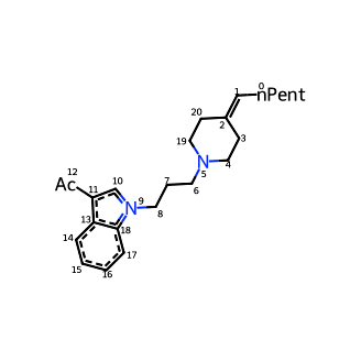 CCCCCC=C1CCN(CCCn2cc(C(C)=O)c3ccccc32)CC1